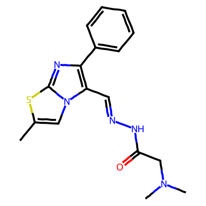 Cc1cn2c(C=NNC(=O)CN(C)C)c(-c3ccccc3)nc2s1